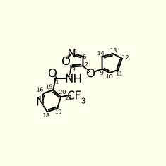 O=C(Nc1oncc1Oc1ccccc1)c1cnccc1C(F)(F)F